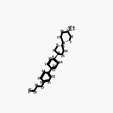 CC[C@H]1CC[C@H]([C@H]2CC[C@H](c3ccc(-c4ccc(CCCF)cc4)cc3)CC2)CC1